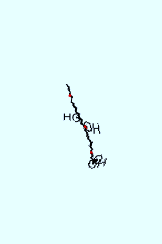 CCCCCCCCCCCCC(O)CCC(O)CCCCCCCCCC(=O)O